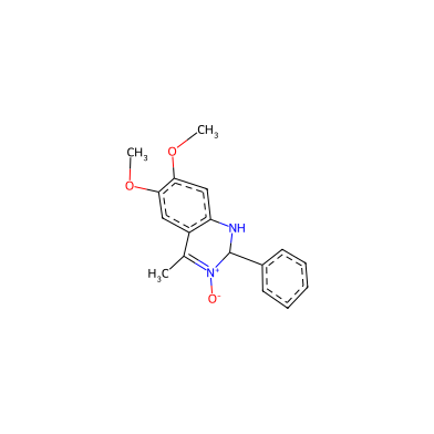 COc1cc2c(cc1OC)C(C)=[N+]([O-])C(c1ccccc1)N2